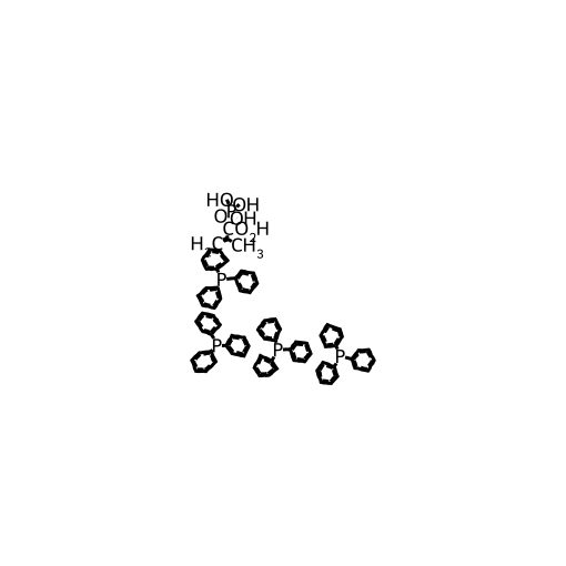 C=C(C)C(=O)O.O=P(O)(O)O.c1ccc(P(c2ccccc2)c2ccccc2)cc1.c1ccc(P(c2ccccc2)c2ccccc2)cc1.c1ccc(P(c2ccccc2)c2ccccc2)cc1.c1ccc(P(c2ccccc2)c2ccccc2)cc1